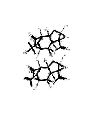 C=C(C)[C@@H]1[C@H]2OC(=O)[C@@H]1[C@]1(O)C[C@H]3OC34C(=O)O[C@H]2[C@@]41C.CC(C)(O)[C@@H]1[C@H]2OC(=O)[C@@H]1[C@]1(O)C[C@H]3OC34C(=O)O[C@H]2[C@@]41C